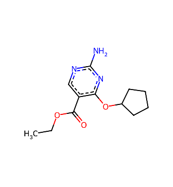 CCOC(=O)c1cnc(N)nc1OC1CCCC1